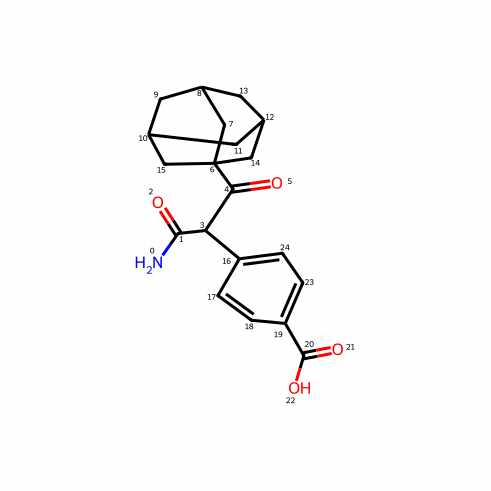 NC(=O)C(C(=O)C12CC3CC(CC(C3)C1)C2)c1ccc(C(=O)O)cc1